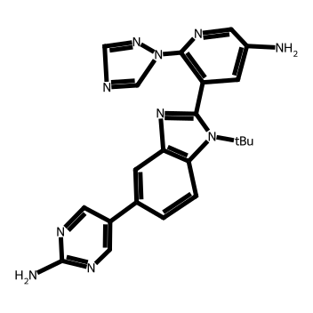 CC(C)(C)n1c(-c2cc(N)cnc2-n2cncn2)nc2cc(-c3cnc(N)nc3)ccc21